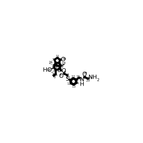 C=C[C@]1(C)C[C@@H](OC(=O)CSc2cccc(CNC(=O)CN)c2)[C@]2(C)C(C)CCC3(CCC(=O)C32)[C@@H](C)[C@@H]1O